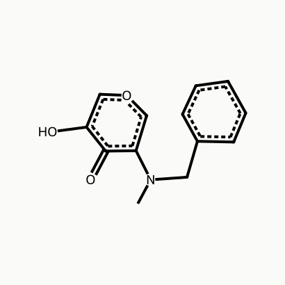 CN(Cc1ccccc1)c1cocc(O)c1=O